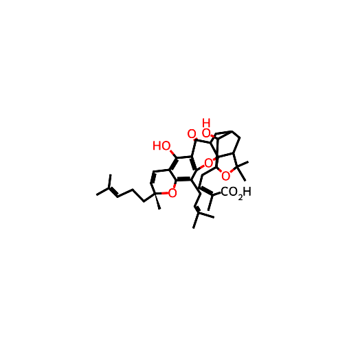 CC(C)=CCC[C@]1(C)C=Cc2c(O)c3c(c(CC=C(C)C)c2O1)OC12C(CC4CC1C(C)(C)OC2(C/C=C(/C)C(=O)O)C4O)C3=O